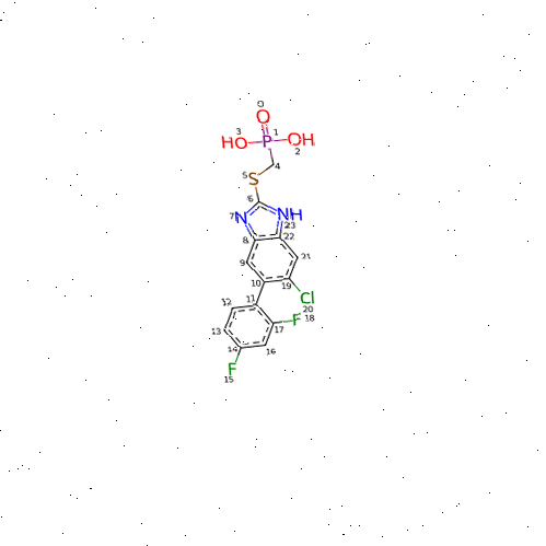 O=P(O)(O)CSc1nc2cc(-c3ccc(F)cc3F)c(Cl)cc2[nH]1